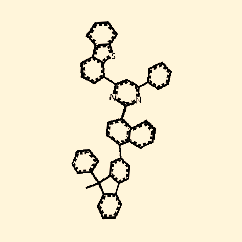 CC1(c2ccccc2)c2ccccc2-c2ccc(-c3ccc(-c4nc(-c5ccccc5)cc(-c5cccc6c5sc5ccccc56)n4)c4ccccc34)cc21